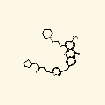 Cc1cc(OCCN2CCCCC2)c2oc3cc(Oc4ccc(CCC(=O)NC5CCCC5)nc4)ccc3c(=O)c2c1